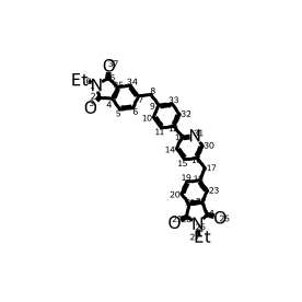 CCN1C(=O)c2ccc(Cc3ccc(-c4ccc(Cc5ccc6c(c5)C(=O)N(CC)C6=O)cn4)cc3)cc2C1=O